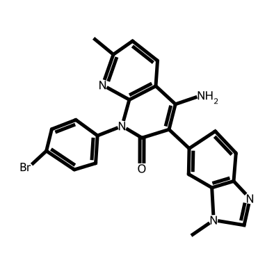 Cc1ccc2c(N)c(-c3ccc4ncn(C)c4c3)c(=O)n(-c3ccc(Br)cc3)c2n1